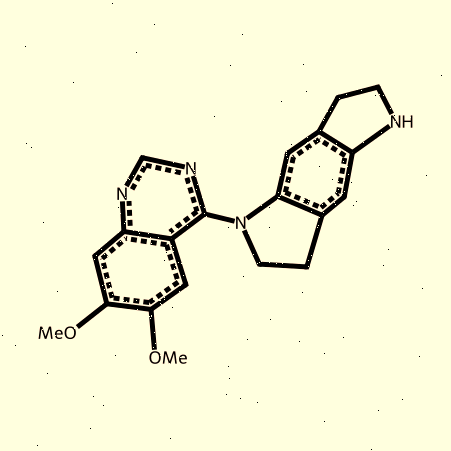 COc1cc2ncnc(N3CCc4cc5c(cc43)CCN5)c2cc1OC